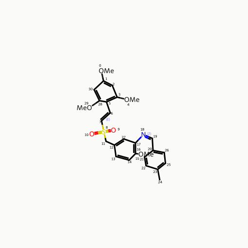 COc1cc(OC)c(/C=C/S(=O)(=O)Cc2ccc(OC)c(/N=C\c3ccc(C)cc3)c2)c(OC)c1